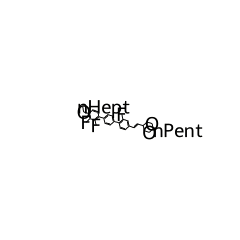 CCCCCCCOc1ccc(-c2ccc(-c3ccc(/C=C/C4COC(CCCCC)OC4)cc3F)cc2)c(F)c1F